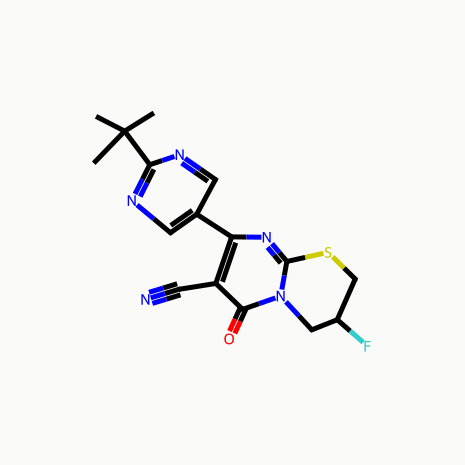 CC(C)(C)c1ncc(-c2nc3n(c(=O)c2C#N)CC(F)CS3)cn1